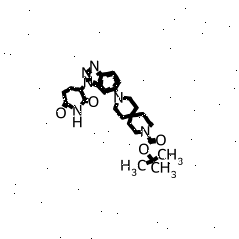 CC(C)(C)OC(=O)N1CCC2(CC1)CCN(c1ccc3nnn(C4CCC(=O)NC4=O)c3c1)CC2